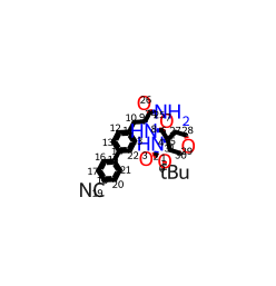 CC(C)(C)OC(=O)NC1(C(=O)NC(Cc2ccc(-c3ccc(C#N)cc3)cc2)C(N)=O)CCOCC1